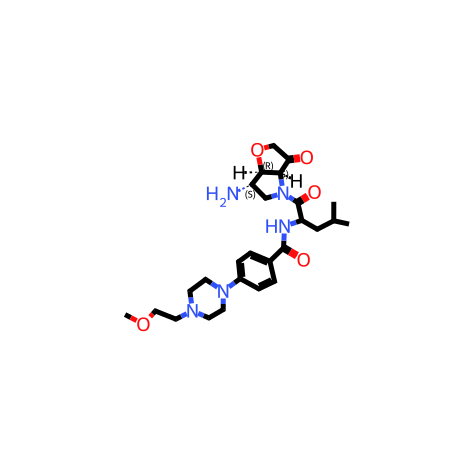 COCCN1CCN(c2ccc(C(=O)NC(CC(C)C)C(=O)N3C[C@H](N)[C@H]4OCC(=O)[C@H]43)cc2)CC1